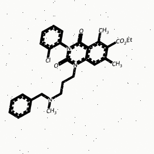 CCOC(=O)c1c(C)cc2c(c1C)c(=O)n(-c1ccccc1Cl)c(=O)n2CCCN(C)Cc1ccccc1